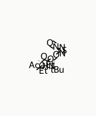 CCC(O[C@@H](CNC(C)(C)C)COc1nsnc1N1CCOCC1)C(=O)[C@@H](C)OC(C)(CC)C(C)=O